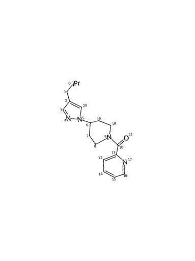 CC(C)Cc1cnn(C2CCN(C(=O)c3ccccn3)CC2)c1